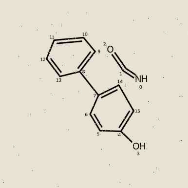 N=C=O.Oc1ccc(-c2ccccc2)cc1